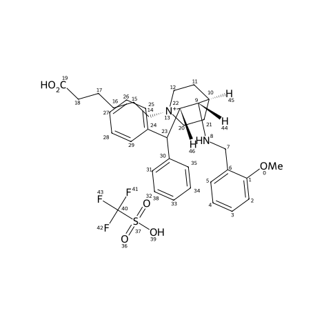 COc1ccccc1CN[C@H]1[C@H]2CC[N@+](CCCCCC(=O)O)(CC2)[C@H]1C(c1ccccc1)c1ccccc1.O=S(=O)(O)C(F)(F)F